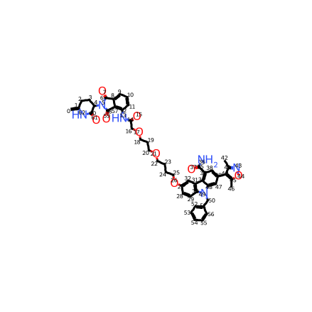 C=C1CCC(N2C(=O)c3cccc(NC(=O)COCCCOCCCCOc4ccc5c(c4)c4c(C(N)=O)cc(-c6c(C)noc6C)cc4n5Cc4ccccc4)c3C2=O)C(=O)N1